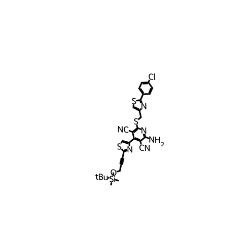 CC(C)(C)[Si](C)(C)OCC#Cc1nc(-c2c(C#N)c(N)nc(SCc3csc(-c4ccc(Cl)cc4)n3)c2C#N)cs1